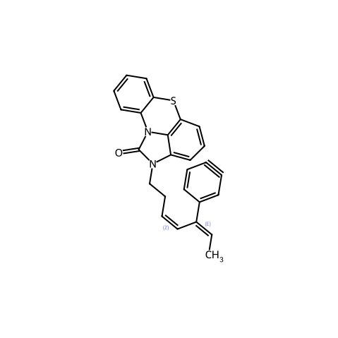 C/C=C(\C=C/CCn1c(=O)n2c3c(cccc31)Sc1ccccc1-2)c1cc#ccc1